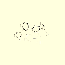 C[C@@H](Oc1nc(-c2ccnc(C3C=NN=C3)c2)cc2ncn(C3CC3)c12)[C@H]1CNC(=O)C1